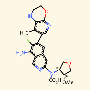 CO[C@H]1COC[C@@H]1N(C(=O)O)c1cc2cc(-c3cnc4c(c3C)NCCO4)c(F)c(N)c2cn1